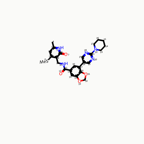 CSc1cc(C)[nH]c(=O)c1CNC(=O)c1cc2c(c(-c3cnc(N4CCCCC4)nc3)c1)OCO2